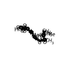 COc1cc(-c2cn(C)c(=O)c3cc(C(=O)NCC4CC5(CCN(CCN6CCN(c7ccc8c(c7)C(=O)N(C7CCC(=O)NC7=O)C8=O)CC6)CC5)C4)sc23)cc(OC)c1CN(C)C